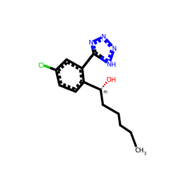 CCCCC[C@@H](O)c1ccc(Cl)cc1-c1nnn[nH]1